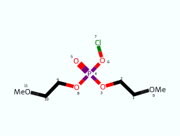 COCCOP(=O)(OCl)OCCOC